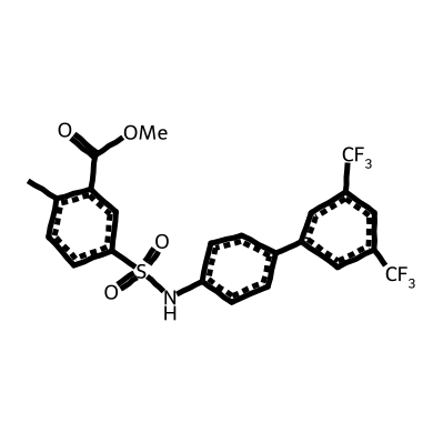 COC(=O)c1cc(S(=O)(=O)Nc2ccc(-c3cc(C(F)(F)F)cc(C(F)(F)F)c3)cc2)ccc1C